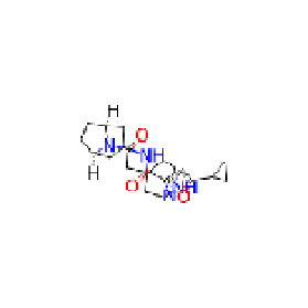 O=C(N[C@H]1C[C@H]2CC[C@@H](C1)N2C(=O)CC1CCNCC1)c1cc(C2CC2)on1